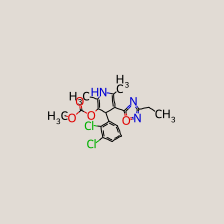 CCc1noc(C2=C(C)NC(C)=C(OC(=O)OC)C2c2cccc(Cl)c2Cl)n1